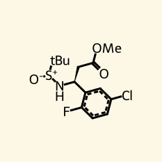 COC(=O)C[C@H](N[S+]([O-])C(C)(C)C)c1cc(Cl)ccc1F